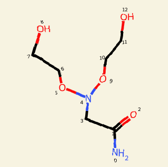 NC(=O)CN(OCCO)OCCO